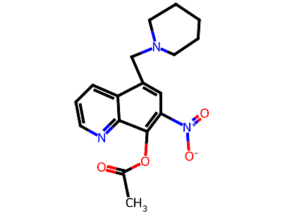 CC(=O)Oc1c([N+](=O)[O-])cc(CN2CCCCC2)c2cccnc12